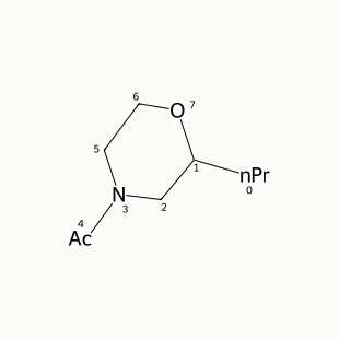 CCCC1CN(C(C)=O)CCO1